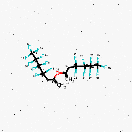 C=C(CC(F)(F)C(F)(F)C(F)(F)C(F)(F)F)OC(=C)CC(F)(F)C(F)(F)C(F)(F)C(F)(F)F